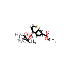 COC(=O)c1ccc2c(c1)SCC=C2B1OC(C)(C)C(C)(C)O1